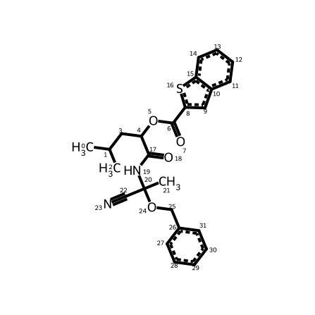 CC(C)CC(OC(=O)c1cc2ccccc2s1)C(=O)NC(C)(C#N)OCc1ccccc1